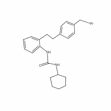 CC(C)Cc1ccc(CCc2ccccc2NC(=O)NC2CCCCC2)cc1